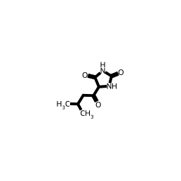 CC(C)CC(=O)C1NC(=O)NC1=O